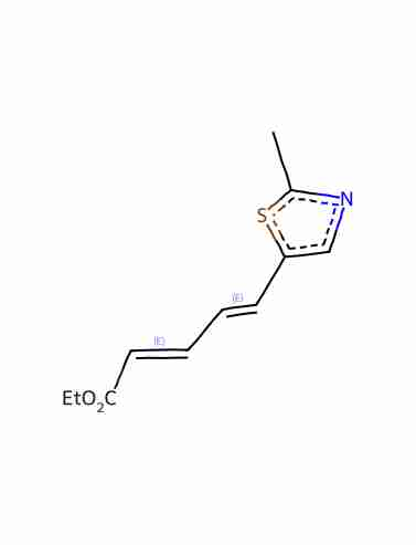 CCOC(=O)/C=C/C=C/c1cnc(C)s1